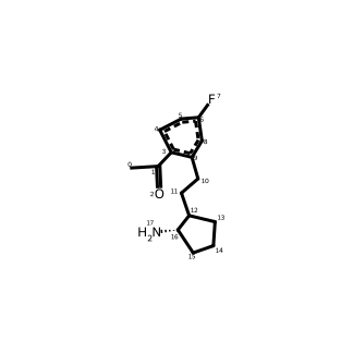 CC(=O)c1ccc(F)cc1CCC1CCC[C@@H]1N